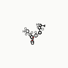 O=C1CCC(N2Cc3cc(C4=CC5CCC(C4)N5CCCN4CCN(c5cccc(-c6cnc7[nH]cc(C8CC8)c7c6Cl)c5)C(=O)C4)ccc3C2=O)C(=O)N1